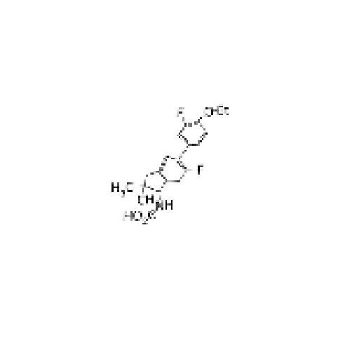 CCOc1ccc(-c2cc3c(cc2F)C(NC(=O)O)C(C)(C)C3)cc1F